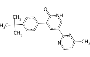 Cc1ccnc(-c2c[nH]c(=O)c(-c3ccc(C(C)(C)C)cc3)c2)n1